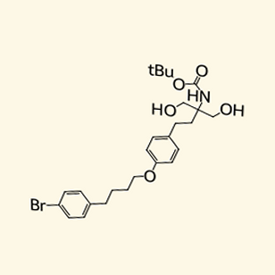 CC(C)(C)OC(=O)NC(CO)(CO)CCc1ccc(OCCCCc2ccc(Br)cc2)cc1